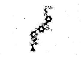 COCCOc1cccc(C(=O)Nc2cc(Oc3ccc4nc(NC(=O)C5CC5)cn4n3)ccc2C)c1